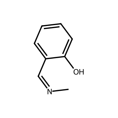 C/N=C\c1ccccc1O